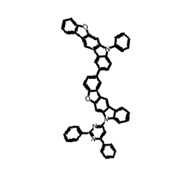 c1ccc(-c2cc(-n3c4ccccc4c4cc5c(cc43)oc3ccc(-c4ccc6c(c4)c4cc7c(cc4n6-c4ccccc4)oc4ccccc47)cc35)nc(-c3ccccc3)n2)cc1